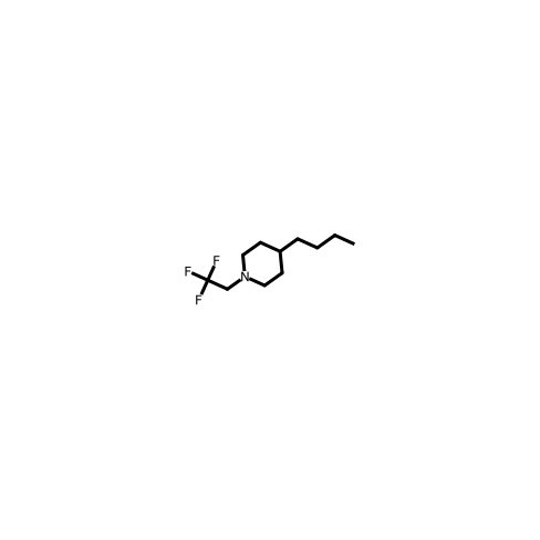 CCCCC1CCN(CC(F)(F)F)CC1